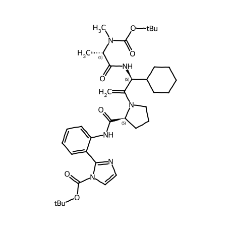 C=C([C@@H](NC(=O)[C@H](C)N(C)C(=O)OC(C)(C)C)C1CCCCC1)N1CCC[C@H]1C(=O)Nc1ccccc1-c1nccn1C(=O)OC(C)(C)C